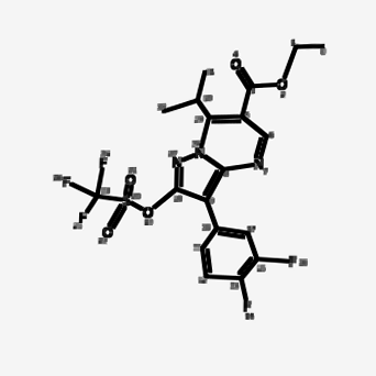 CCOC(=O)c1cnc2c(-c3ccc(F)c(F)c3)c(OS(=O)(=O)C(F)(F)F)nn2c1C(C)C